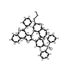 CCCc1cc(-c2c(-c3ccc(P(=O)(c4ccccc4)c4ccccc4)cc3)oc3c2c(-c2ccccc2)nc2ccccc23)c2ccccc2n1